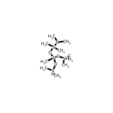 CN(C)[Si](C)(C)O[Si](C)(O[SiH](C)C)O[SiH](C)C